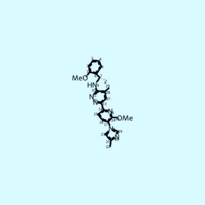 COc1ccccc1[C@H](C)Nc1nnc(-c2ccc(-n3cnc(C)c3)c(OC)n2)cc1C